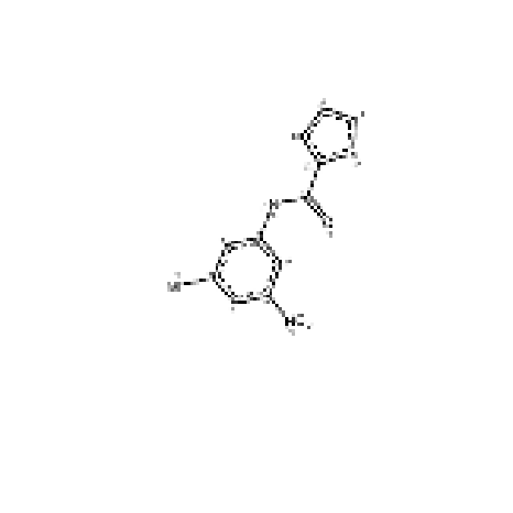 O=C(Nc1cc(Br)cc([N+](=O)[O-])c1)c1cccs1